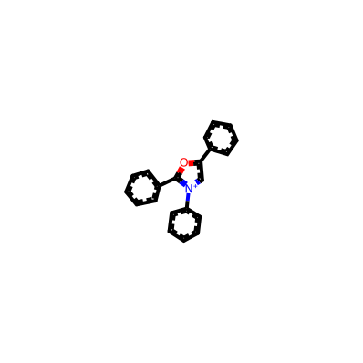 c1ccc(-c2c[n+](-c3ccccc3)c(-c3ccccc3)o2)cc1